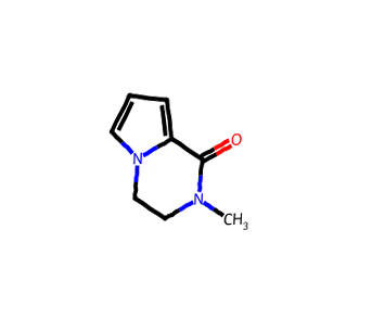 CN1CCn2cccc2C1=O